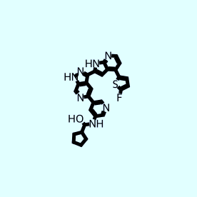 OC(Nc1cncc(-c2cc3c(-c4cc5c(-c6ccc(F)s6)ccnc5[nH]4)n[nH]c3cn2)c1)C1CCCC1